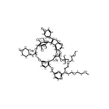 COCCOCCN(CCOCCOC)c1nccc(COc2ccc3cc2C[C@H](C(=O)OC(C)(C)C)Oc2ncnc4sc(-c5ccc(F)cc5)c(c24)-c2c(C)c(Cl)c(c(Cl)c2C)O[C@H](CN2CCN(C)CC2)CO3)n1